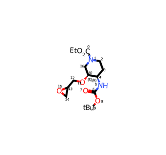 CCOC(=O)N1CC[C@@H](NC(=O)OC(C)(C)C)[C@@H](OCC2CO2)C1